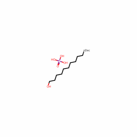 CCCCCCCCCCCCCCCCCCCCO.O=P(O)(O)O